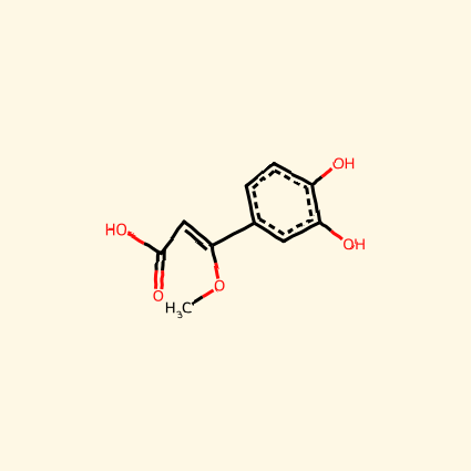 COC(=CC(=O)O)c1ccc(O)c(O)c1